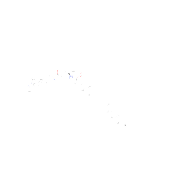 CCN[C@@H](CCCCNC(=O)CC[C@H](NC(=O)CCCCCCCCCCCCCCCCC(=O)O)C(=O)O)C(=O)O